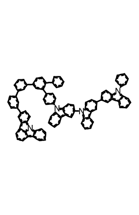 c1ccc(-c2ccc(-c3cccc(-c4cccc(-c5ccc6c(c5)c5cccc7c8ccccc8n6c75)c4)c3)cc2-c2ccc(-n3c4ccccc4c4cc(-n5c6ccccc6c6cc(-c7ccc8c(c7)c7ccccc7n8-c7ccccc7)ccc65)ccc43)cc2)cc1